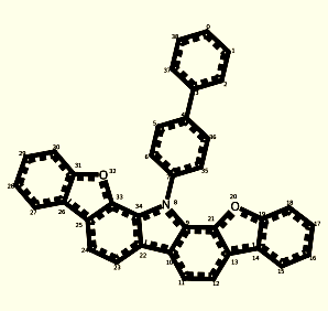 c1ccc(-c2ccc(-n3c4c(ccc5c6ccccc6oc54)c4ccc5c6ccccc6oc5c43)cc2)cc1